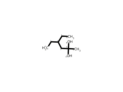 CCC(CC)CC(C)(O)O